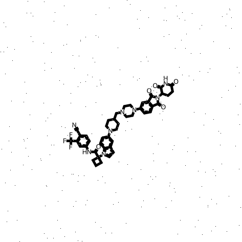 N#Cc1ccc(NC(=O)C2(n3ccc4cc(N5CCC(CN6CCN(c7ccc8c(c7)C(=O)N(C7CCC(=O)NC7=O)C8=O)CC6)CC5)ccc43)CCC2)cc1C(F)(F)F